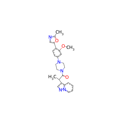 COc1cc(N2CCN(C(=O)C(C)c3cnn4ccccc34)CC2)ccc1-c1cnc(C)o1